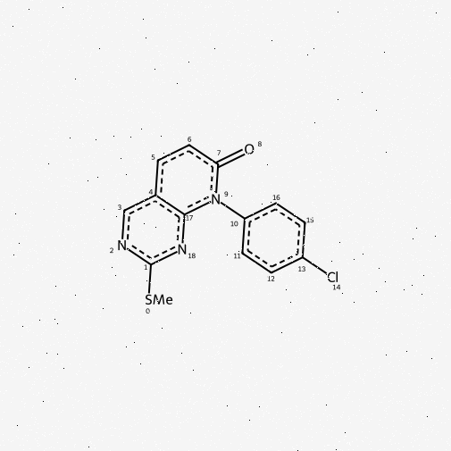 CSc1ncc2ccc(=O)n(-c3ccc(Cl)cc3)c2n1